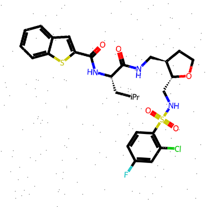 CC(C)C[C@H](NC(=O)c1cc2ccccc2s1)C(=O)NC[C@H]1CCO[C@@H]1CNS(=O)(=O)c1ccc(F)cc1Cl